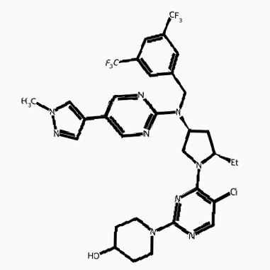 CC[C@@H]1C[C@H](N(Cc2cc(C(F)(F)F)cc(C(F)(F)F)c2)c2ncc(-c3cnn(C)c3)cn2)CN1c1nc(N2CCC(O)CC2)ncc1Cl